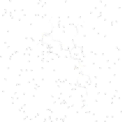 CCCOc1ccc(S(=O)(=O)N2CCN(CCO)CC2)cc1C1=Nn2c(CCC)nc(C)c2C(=O)C1